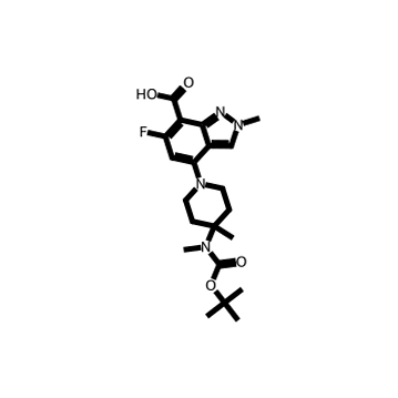 CN(C(=O)OC(C)(C)C)C1(C)CCN(c2cc(F)c(C(=O)O)c3nn(C)cc23)CC1